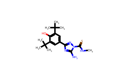 CNC(=S)n1nc(-c2cc(C(C)(C)C)c(O)c(C(C)(C)C)c2)nc1N